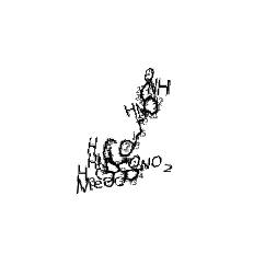 COC(=O)C1=C(C)NC(C)=C(C(=O)OCCCCCNC2CCCc3[nH]c(=O)ccc32)C1c1cccc([N+](=O)[O-])c1